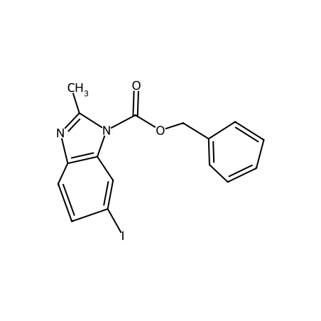 Cc1nc2ccc(I)cc2n1C(=O)OCc1ccccc1